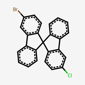 Clc1ccc2c(c1)-c1ccccc1C21c2ccccc2-c2cc(Br)ccc21